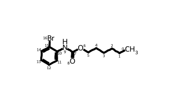 CCCCCCOC(=O)Nc1ccccc1Br